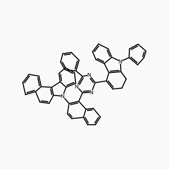 C1=C(c2nc(-c3ccccc3)nc(-c3c(-n4c5ccccc5c5c6ccccc6ccc54)ccc4ccccc34)n2)c2c(n(-c3ccccc3)c3ccccc23)CC1